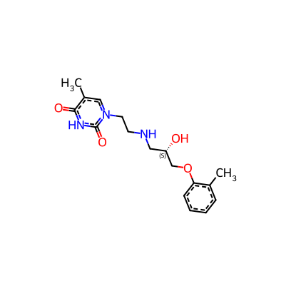 Cc1ccccc1OC[C@@H](O)CNCCn1cc(C)c(=O)[nH]c1=O